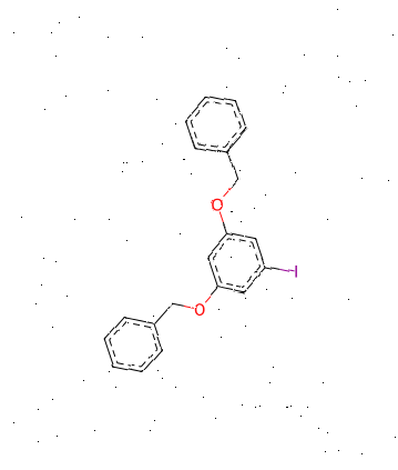 Ic1cc(OCc2ccccc2)cc(OCc2ccccc2)c1